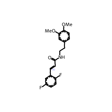 COc1ccc(CCNC(=O)/C=C/c2cc(F)ccc2F)cc1OC